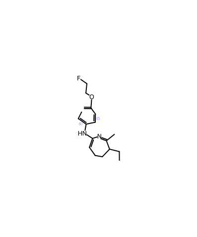 C=C(/C=C\C(=C/C)NC1=CCCC(CC)C(C)=N1)OCCF